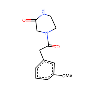 COc1cccc(CC(=O)N2CCNC(=O)C2)c1